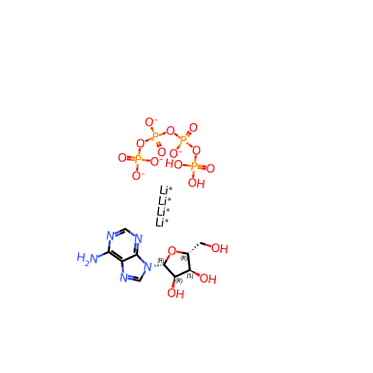 Nc1ncnc2c1ncn2[C@@H]1O[C@H](CO)[C@@H](O)[C@H]1O.O=P([O-])([O-])OP(=O)([O-])OP(=O)([O-])OP(=O)(O)O.[Li+].[Li+].[Li+].[Li+]